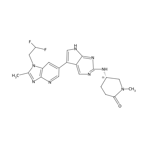 Cc1nc2ncc(-c3c[nH]c4nc(N[C@H]5CCC(=O)N(C)C5)ncc34)cc2n1CC(F)F